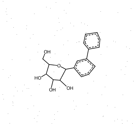 OCC1OC(c2cccc(-c3ccccc3)c2)C(O)C(O)C1O